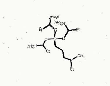 CCCCCCCC(CC)O[Si](CCCN(C)CC)(OC(CC)CCCCCCC)OC(CC)CCCCCCC